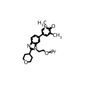 Cc1cc(-c2ccc3nc(C4CCOCC4)n(CCOC(C)C)c3c2)cn(C)c1=O